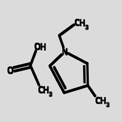 CC(=O)O.CCn1ccc(C)c1